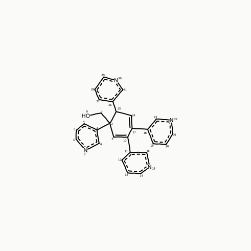 OCC1(c2cccnc2)C=C(c2cccnc2)C(c2cccnc2)=CC1c1cccnc1